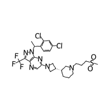 CC(c1ccc(Cl)cc1Cl)n1nc(C(F)(F)F)c2ncc(N3CC([C@H]4CCCN(CCCS(C)(=O)=O)C4)C3)nc21